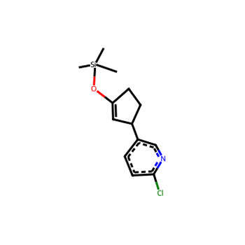 C[Si](C)(C)OC1=CC(c2ccc(Cl)nc2)CC1